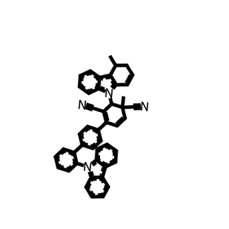 CC1CC=Cc2c1c1ccccc1n2C1C(C#N)=C(c2ccc(-c3ccccc3-n3c4ccccc4c4ccccc43)cc2)C=CC1(C)C#N